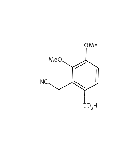 COc1ccc(C(=O)O)c(CC#N)c1OC